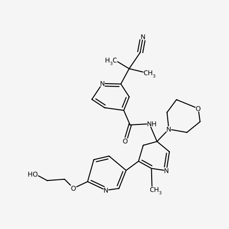 CC1=C(c2ccc(OCCO)nc2)CC(NC(=O)c2ccnc(C(C)(C)C#N)c2)(N2CCOCC2)C=N1